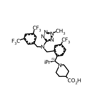 CC(C)[C@@H](c1ccc(C(F)(F)F)cc1CN(Cc1cc(C(F)(F)F)cc(C(F)(F)F)c1)c1nnn(C)n1)N1CCC(C(=O)O)CC1